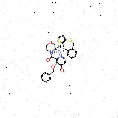 O=C1c2c(OCc3ccccc3)c(=O)ccn2N([C@H]2c3ccccc3CSc3ccsc32)[C@@H]2COCCN12